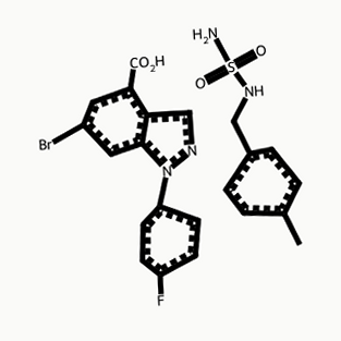 Cc1ccc(CNS(N)(=O)=O)cc1.O=C(O)c1cc(Br)cc2c1cnn2-c1ccc(F)cc1